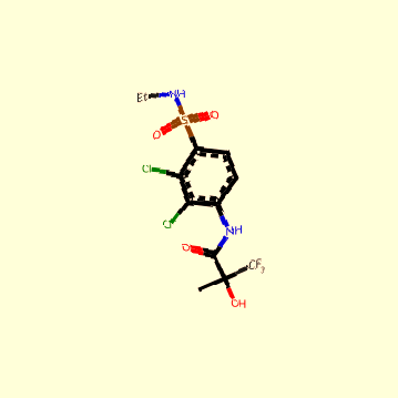 CCNS(=O)(=O)c1ccc(NC(=O)C(C)(O)C(F)(F)F)c(Cl)c1Cl